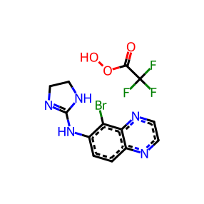 Brc1c(NC2=NCCN2)ccc2nccnc12.O=C(OO)C(F)(F)F